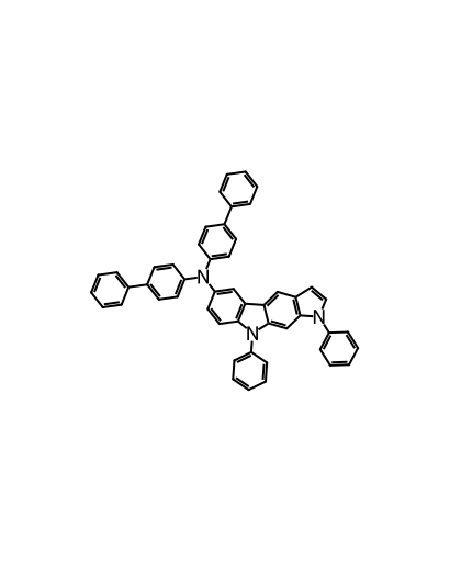 c1ccc(-c2ccc(N(c3ccc(-c4ccccc4)cc3)c3ccc4c(c3)c3cc5ccn(-c6ccccc6)c5cc3n4-c3ccccc3)cc2)cc1